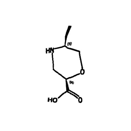 C[C@H]1CO[C@@H](C(=O)O)CN1